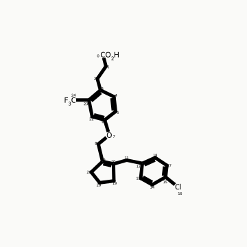 O=C(O)CCc1ccc(OCC2=C(Cc3ccc(Cl)cc3)CCC2)cc1C(F)(F)F